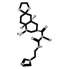 CCN(C(=O)NCCn1ccnc1)C(=O)[C@@H]1C[C@@H]2CC3(CC[C@H]2N(C)C1)OCCO3